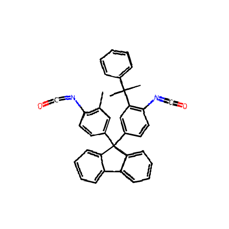 Cc1cc(C2(c3ccc(N=C=O)c(C(C)(C)c4ccccc4)c3)c3ccccc3-c3ccccc32)ccc1N=C=O